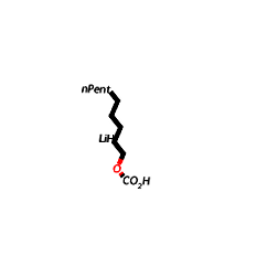 CCCCCCCCCCOC(=O)O.[LiH]